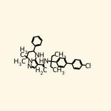 C=C(NC(CC)(CC)c1ccc(-c2ccc(Cl)cc2)cc1)c1cnn2c1NC(c1ccccc1)CC2(C)C